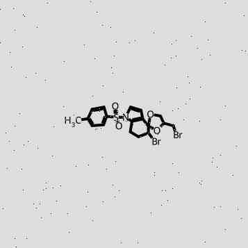 Cc1ccc(S(=O)(=O)n2ccc3c2CCC(Br)C32OCC(CBr)O2)cc1